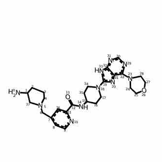 NC1CCCN(Cc2ccnc(C(=O)NC3CCN(c4nc5c(N6CCOCC6)ncnc5[nH]4)CC3)c2)C1